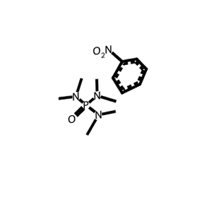 CN(C)P(=O)(N(C)C)N(C)C.O=[N+]([O-])c1ccccc1